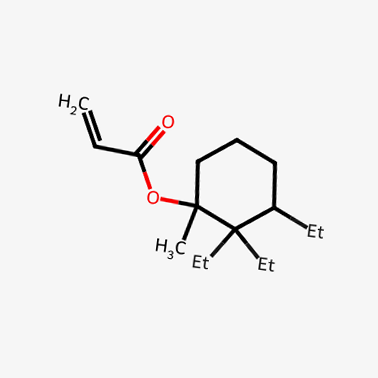 C=CC(=O)OC1(C)CCCC(CC)C1(CC)CC